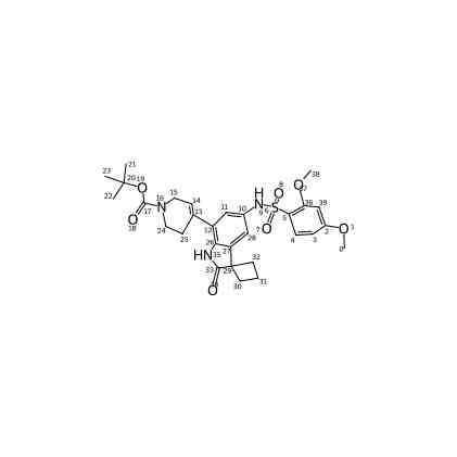 COc1ccc(S(=O)(=O)Nc2cc(C3=CCN(C(=O)OC(C)(C)C)CC3)c3c(c2)C2(CCC2)C(=O)N3)c(OC)c1